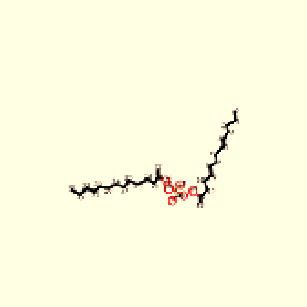 CCCCCCCCCCCCC(C)OOS(=O)(=O)OOC(C)CCCCCCCCCCCC